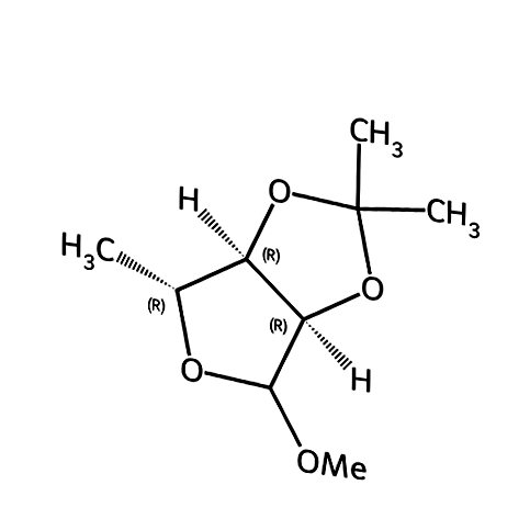 COC1O[C@H](C)[C@H]2OC(C)(C)O[C@@H]12